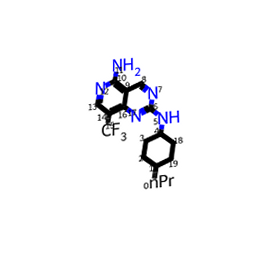 CCCC1CCC(Nc2ncc3c(N)ncc(C(F)(F)F)c3n2)CC1